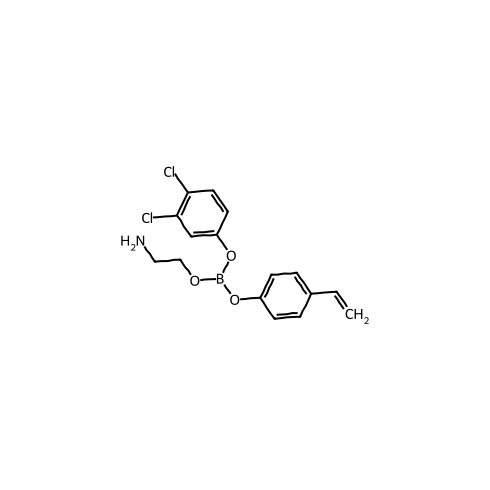 C=Cc1ccc(OB(OCCN)Oc2ccc(Cl)c(Cl)c2)cc1